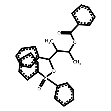 CC(OC(=O)c1ccccc1)C(C)C(OP(=O)(c1ccccc1)c1ccccc1)c1ccccc1